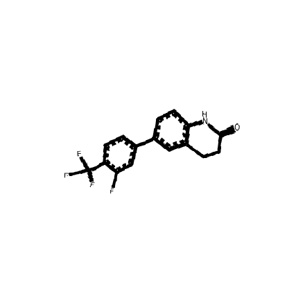 O=C1CCc2cc(-c3ccc(C(F)(F)F)c(F)c3)ccc2N1